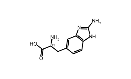 Nc1nc2cc(C[C@H](N)C(=O)O)ccc2[nH]1